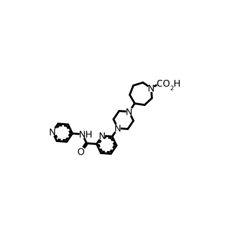 O=C(Nc1ccncc1)c1cccc(N2CCN(C3CCCN(C(=O)O)CC3)CC2)n1